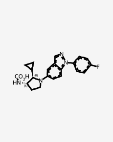 O=C(O)N[C@H]1CCN(c2ccc3c(cnn3-c3ccc(F)cc3)c2)[C@@H]1C1CC1